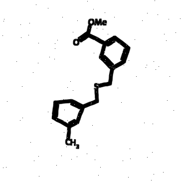 COC(=O)c1cccc(CSCc2cccc(C)c2)c1